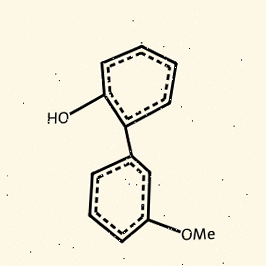 COc1cccc(-c2cc[c]cc2O)c1